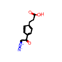 [N-]=[N+]=CC(=O)c1ccc(CCC(=O)O)cc1